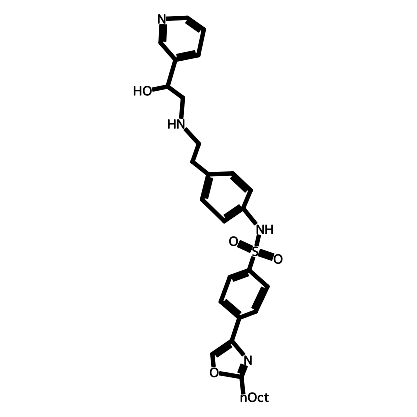 CCCCCCCCc1nc(-c2ccc(S(=O)(=O)Nc3ccc(CCNCC(O)c4cccnc4)cc3)cc2)co1